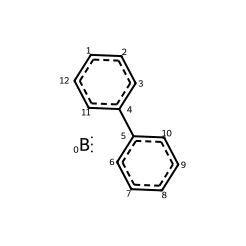 [B].c1ccc(-c2ccccc2)cc1